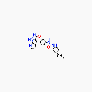 Cc1ccc(NC(=O)Nc2ccc(-c3c(C(N)=O)[nH]c4ncccc34)cc2)cc1